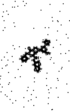 CC(C)c1cc(N2CCN(C(=O)OCc3ccccc3)C(C(=O)NCC3=COC4=CCOC4=C3)C2)nc(-n2ccnc2)n1